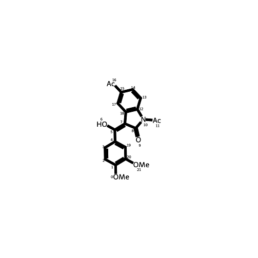 COc1ccc(C(O)=C2C(=O)N(C(C)=O)c3ccc(C(C)=O)cc32)cc1OC